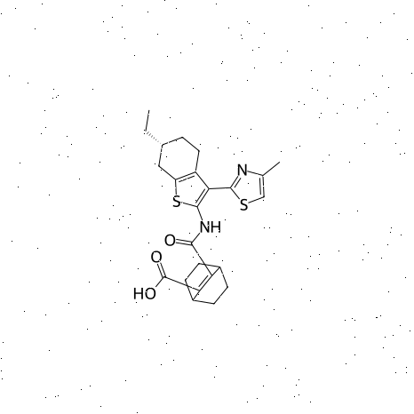 CC[C@@H]1CCc2c(sc(NC(=O)C3=C(C(=O)O)C4CCC3CC4)c2-c2nc(C)cs2)C1